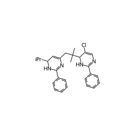 CC(C)C1C=C(CC(C)(C)C2NC(c3ccccc3)=NC=C2Cl)N=C(c2ccccc2)N1